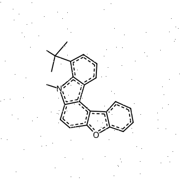 Cn1c2ccc3oc4ccccc4c3c2c2cccc(C(C)(C)C)c21